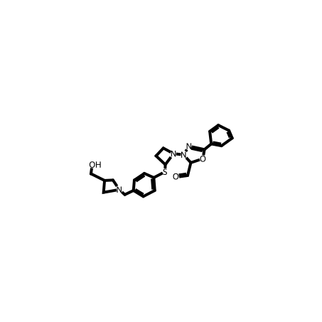 O=CC1OC(c2ccccc2)=NN1N1CCC1Sc1ccc(CN2CC(CO)C2)cc1